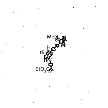 CCOC(=O)c1ncsc1-c1ccc(CNC(=O)C2CCCN2C(=O)C(NC(=O)c2ccc(-c3ccc(C4=N[C@@H](CC(=O)OC)c5nnc(C)n5-c5sc(C)c(C)c54)cc3)cc2)C(C)(C)C)cc1